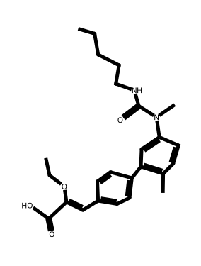 CCCCCNC(=O)N(C)c1ccc(C)c(-c2ccc(C=C(OCC)C(=O)O)cc2)c1